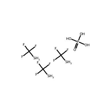 FC(F)(F)[SiH3].FC(F)(F)[SiH3].FC(F)(F)[SiH3].O=P(O)(O)O